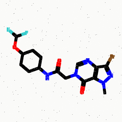 Cn1nc(Br)c2ncn(CC(=O)NC3CCC(OC(F)F)CC3)c(=O)c21